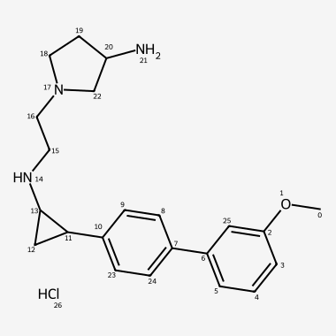 COc1cccc(-c2ccc(C3CC3NCCN3CCC(N)C3)cc2)c1.Cl